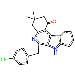 CC1(C)CC(=O)c2c(nc(Cc3ccc(Cl)cc3)c3[nH]c4ccccc4c23)C1